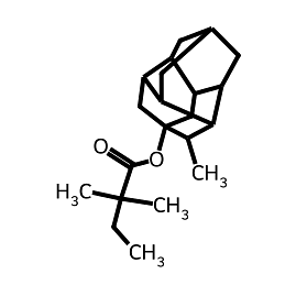 CCC(C)(C)C(=O)OC12CC3C4CC5CC3C(C(C5)C4C1)C2C